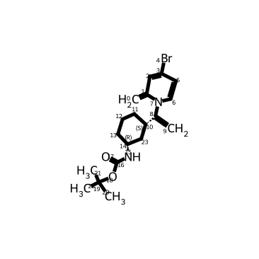 C=C1C=C(Br)C=CN1C(=C)[C@H]1CCC[C@@H](NC(=O)OC(C)(C)C)C1